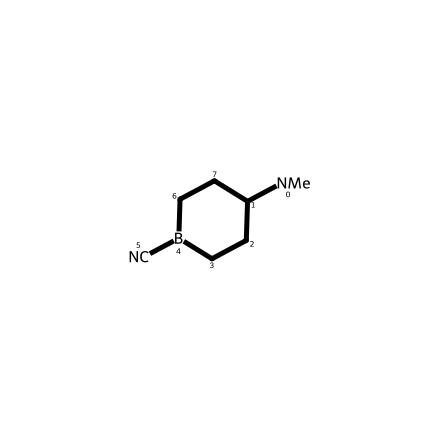 CNC1CCB(C#N)CC1